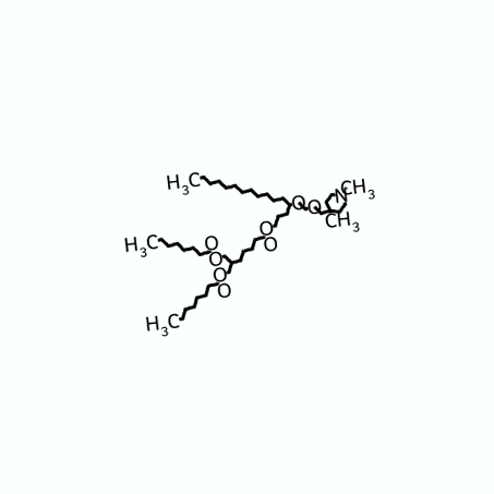 CCCCCCCCCCCCC(CCCOC(=O)CCCCC(COC(=O)CCCCCCC)COC(=O)CCCCCCC)OCOCC1(C)CCN(C)CC1